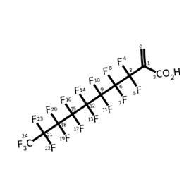 C=C(C(=O)O)C(F)(F)C(F)(F)C(F)(F)C(F)(F)C(F)(F)C(F)(F)C(F)(F)C(F)(F)F